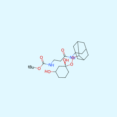 CC(C)(C)OC(=O)NCCC(=O)NC12CC3CC(C1)C(OO[C@]1(O)CCCC(O)C1)C(C3)C2